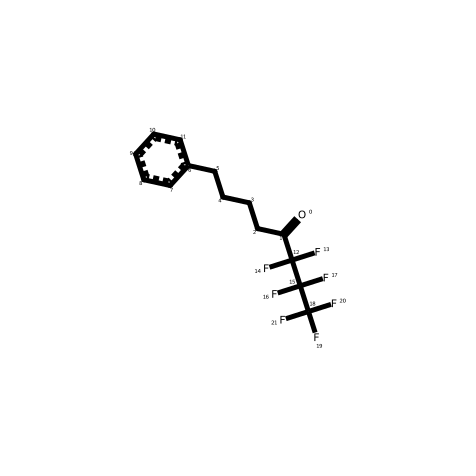 O=C(CCCCc1ccccc1)C(F)(F)C(F)(F)C(F)(F)F